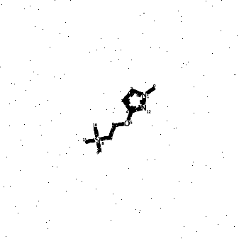 Cn1ccc(OCC[Si](C)(C)C)n1